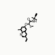 C#CC(C)(C)NC(=O)C(Oc1cc(C)c2ncc(C=C)cc2c1)SC